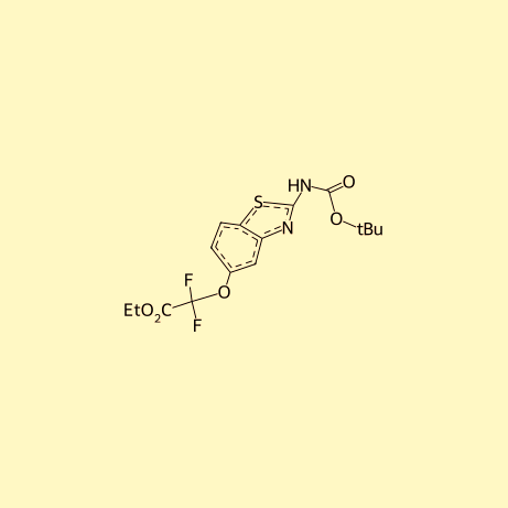 CCOC(=O)C(F)(F)Oc1ccc2sc(NC(=O)OC(C)(C)C)nc2c1